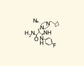 N#C[C@@H]1CN(CC2CCC2)CCN1/C=C(\C(=N)Nc1ccc(F)cc1)C(N)=O